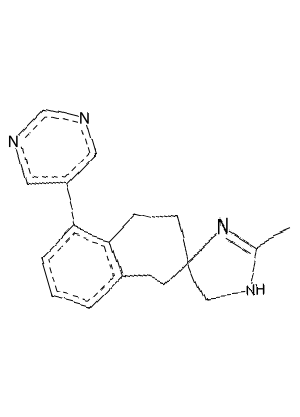 CC1=NC2(CCc3c(cccc3-c3cncnc3)C2)CN1